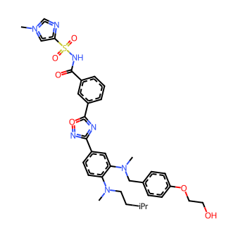 CC(C)CCN(C)c1ccc(-c2noc(-c3cccc(C(=O)NS(=O)(=O)c4cn(C)cn4)c3)n2)cc1N(C)Cc1ccc(OCCO)cc1